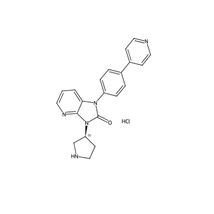 Cl.O=c1n(-c2ccc(-c3ccncc3)cc2)c2cccnc2n1[C@H]1CCNC1